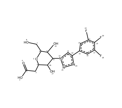 O=C(O)CC1OC(CO)C(O)C(n2cc(-c3cc(F)c(F)c(F)c3)nn2)C1O